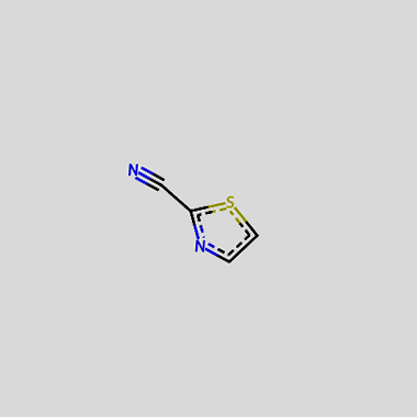 N#Cc1nccs1